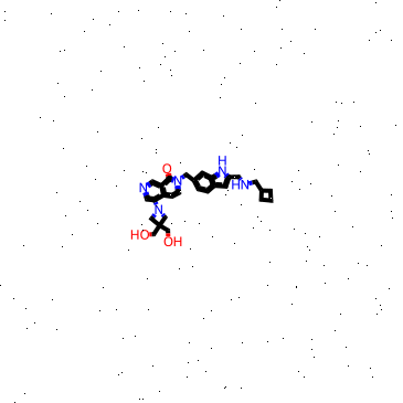 O=c1c2cncc(N3CC(CO)(CO)C3)c2ccn1Cc1ccc2cc(CNCC3CCC3)[nH]c2c1